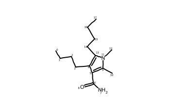 CCCCc1c(C(N)=O)c(C)n(C)c1CCCC